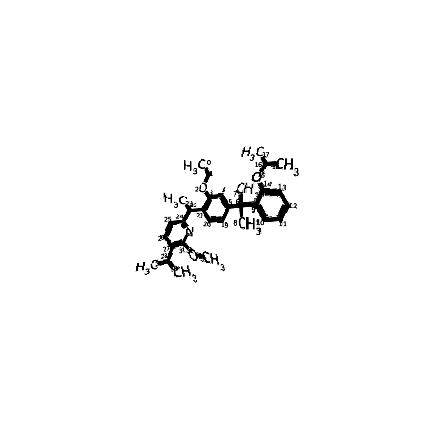 CCOc1cc(C(C)(C)c2ccccc2OC(C)C)ccc1C(C)c1ccc(C(C)C)c(OC)n1